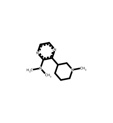 CN1CCCC(c2nccnc2N(C)C)C1